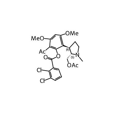 COc1cc(OC)c([C@H]2CCN(C)[C@@H]2COC(C)=O)c(OC(=O)c2cccc(Cl)c2Cl)c1C(C)=O